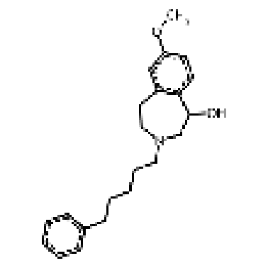 COc1ccc2c(c1)CCN(CCCCCc1ccccc1)CC2O